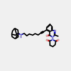 Cc1nc2cccc(C#CCCCCCCNC34CC5CC(CC(C5)C3)C4)c2c(=O)n1N1C(=O)CCCC1=O